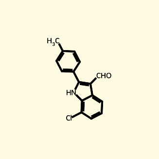 Cc1ccc(-c2[nH]c3c(Cl)cccc3c2C=O)cc1